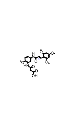 COc1cc(OC)c(/C=C/C(=O)Nc2ccc(OC)c(NC(=O)CC(=O)O)c2)c(OC)c1